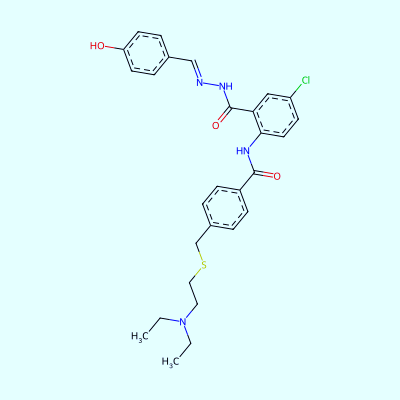 CCN(CC)CCSCc1ccc(C(=O)Nc2ccc(Cl)cc2C(=O)NN=Cc2ccc(O)cc2)cc1